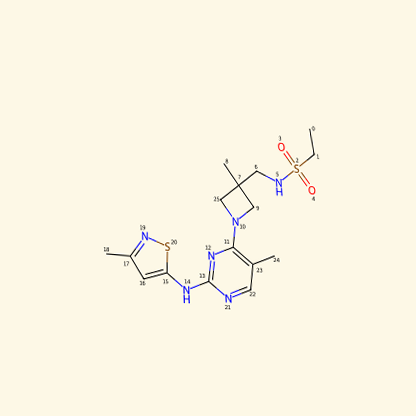 CCS(=O)(=O)NCC1(C)CN(c2nc(Nc3cc(C)ns3)ncc2C)C1